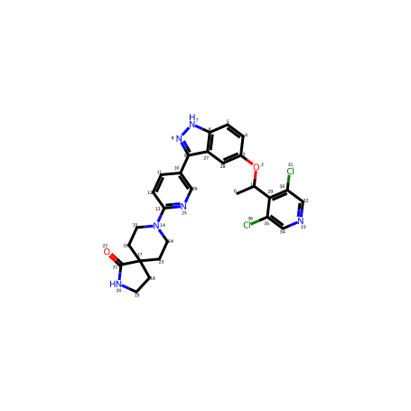 CC(Oc1ccc2[nH]nc(-c3ccc(N4CCC5(CCNC5=O)CC4)nc3)c2c1)c1c(Cl)cncc1Cl